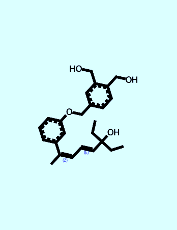 CCC(O)(/C=C/C=C(/C)c1cccc(OCc2ccc(CO)c(CO)c2)c1)CC